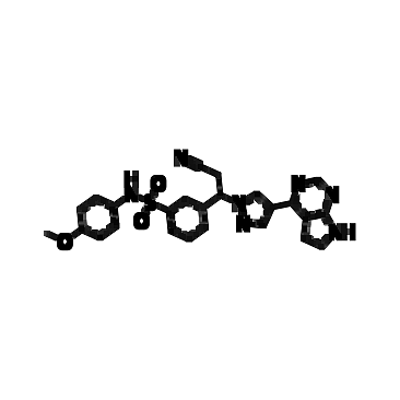 COc1ccc(NS(=O)(=O)c2cccc(C(CC#N)n3cc(-c4ncnc5[nH]ccc45)cn3)c2)cc1